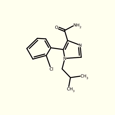 CC(C)Cn1cnc(C(N)=O)c1-c1ccccc1Cl